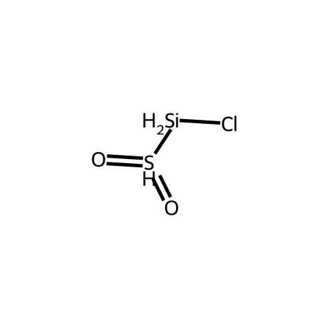 O=[SH](=O)[SiH2]Cl